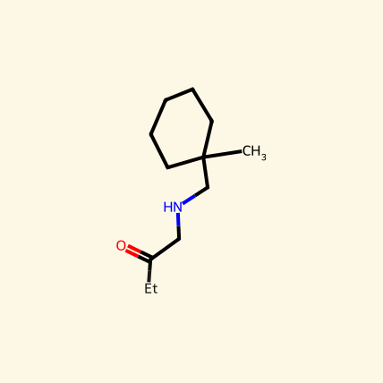 CCC(=O)CNCC1(C)CCCCC1